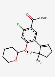 COC(=O)c1cc(C2=CCCC2(C)C)c(OC2CCCCO2)cc1F